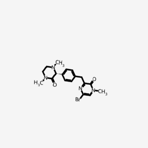 CN1CCN(C)[C@H](c2ccc(Cc3nc(Br)cn(C)c3=O)cc2)C1=O